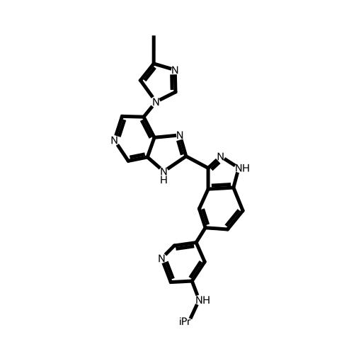 Cc1cn(-c2cncc3[nH]c(-c4n[nH]c5ccc(-c6cncc(NC(C)C)c6)cc45)nc23)cn1